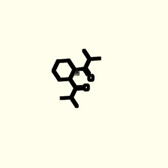 CC(C)C(=O)C1CCCC[C@H]1C(=O)C(C)C